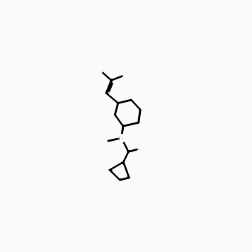 CC(C)=CC1CCCC(N(C)C(O)C2CCC2)C1